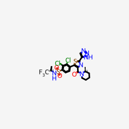 C[C@H](NS(=O)(=O)c1ccc(-c2sc(-c3cnn[nH]3)nc2C(=O)N2CCCC[C@@H]2C)c(Cl)c1Cl)C(F)(F)F